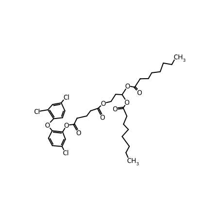 CCCCCCCC(=O)OC(CCOC(=O)CCCC(=O)Oc1cc(Cl)ccc1Oc1ccc(Cl)cc1Cl)OC(=O)CCCCCCC